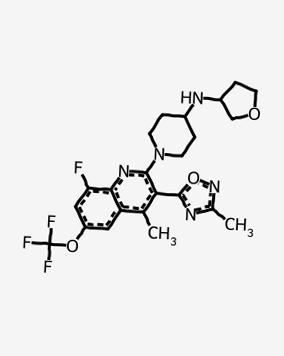 Cc1noc(-c2c(N3CCC(NC4CCOC4)CC3)nc3c(F)cc(OC(F)(F)F)cc3c2C)n1